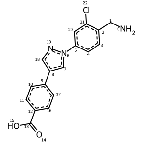 NCc1ccc(-n2cc(-c3ccc(C(=O)O)cc3)cn2)cc1Cl